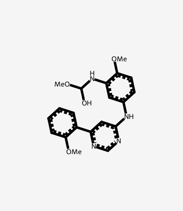 COc1ccc(Nc2cc(-c3ccccc3OC)ncn2)cc1NC(O)OC